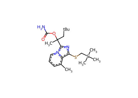 Cc1cccn2c(C(C)(CC(C)(C)C)OC(N)=O)nc(SC[Si](C)(C)C)c12